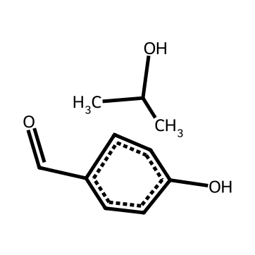 CC(C)O.O=Cc1ccc(O)cc1